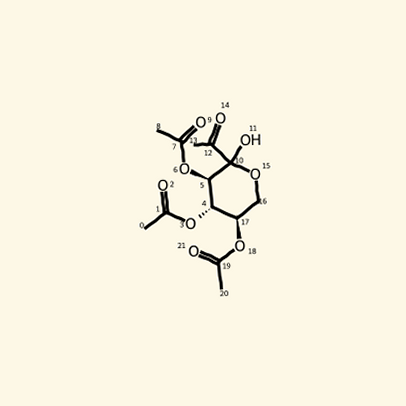 CC(=O)O[C@@H]1[C@@H](OC(C)=O)C(O)(C(C)=O)OC[C@H]1OC(C)=O